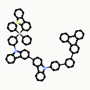 c1ccc([Si](c2ccccc2)(c2cccc(-n3c4ccccc4c4cc(-c5ccc6c(c5)c5ccccc5n6-c5ccc(-c6cccc(-c7ccc8c9ccccc9c9ccccc9c8c7)c6)cc5)ccc43)c2)c2cccc3c2sc2ccccc23)cc1